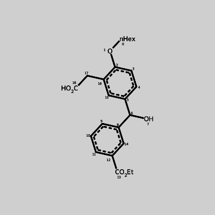 CCCCCCOc1ccc(C(O)c2cccc(C(=O)OCC)c2)cc1CC(=O)O